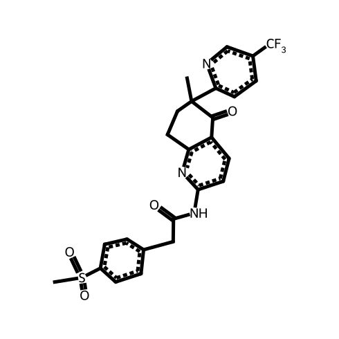 CC1(c2ccc(C(F)(F)F)cn2)CCc2nc(NC(=O)Cc3ccc(S(C)(=O)=O)cc3)ccc2C1=O